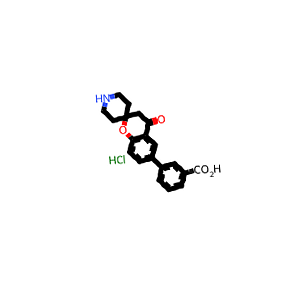 Cl.O=C(O)c1cccc(-c2ccc3c(c2)C(=O)CC2(CCNCC2)O3)c1